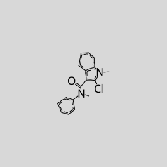 CN(C(=O)c1c(Cl)n(C)c2ccccc12)c1ccccc1